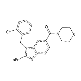 CCCc1nc2ccc(C(=O)N3CCSCC3)cc2n1Cc1ccccc1Cl